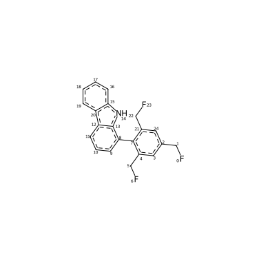 FCc1cc(CF)c(-c2cccc3c2[nH]c2ccccc23)c(CF)c1